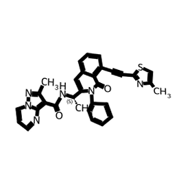 Cc1csc(C#Cc2cccc3cc([C@H](C)NC(=O)c4c(C)nn5cccnc45)n(-c4ccccc4)c(=O)c23)n1